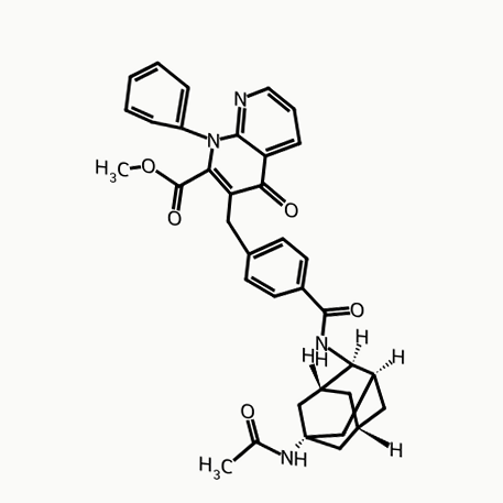 COC(=O)c1c(Cc2ccc(C(=O)N[C@@H]3[C@@H]4C[C@@H]5C[C@H]3C[C@@](NC(C)=O)(C5)C4)cc2)c(=O)c2cccnc2n1-c1ccccc1